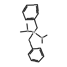 C[N](C)[Hf]([CH2]c1ccccc1)([CH2]c1ccccc1)[N](C)C